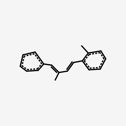 CC(C=Cc1ccccc1C)=Cc1ccccc1